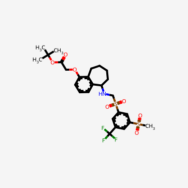 CC(C)(C)OC(=O)COc1cccc2c1CCCCC2NCS(=O)(=O)c1cc(C(F)(F)F)cc(S(C)(=O)=O)c1